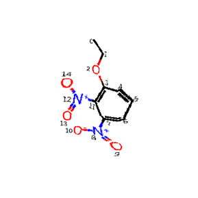 CCOc1cccc([N+](=O)[O-])c1[N+](=O)[O-]